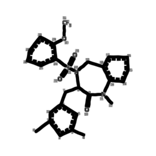 Cc1cc(C)cc(CC2C(=O)N(C)c3ccccc3CN2S(=O)(=O)c2ccccc2OC(F)(F)F)c1